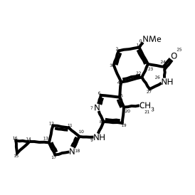 CNc1ccc(-c2cnc(Nc3ccc(C4CC4)cn3)cc2C)c2c1C(=O)NC2